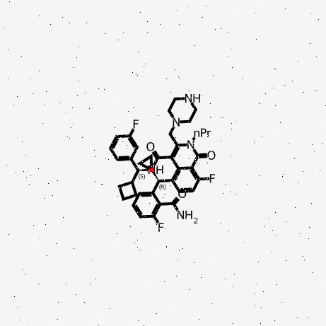 CCCn1c(CN2CCNCC2)c(C(=O)N[C@H](c2cccc(F)c2)C2CCC2)c2c([C@@H](c3cccc(F)c3C(N)=O)C3CC3)ccc(F)c2c1=O